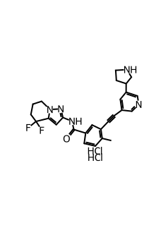 Cc1ccc(C(=O)Nc2cc3n(n2)CCCC3(F)F)cc1C#Cc1cncc(C2CCNC2)c1.Cl.Cl